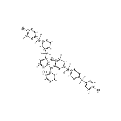 Cc1cc(C(C)(C)c2ccc(C(C)(C)c3cc(C)c(O)c(C(c4ccccc4)c4cc(C(C)(C)c5cccc(C(C)(C)c6ccc(O)c(C)c6)c5)cc(C)c4O)c3)cc2)ccc1O